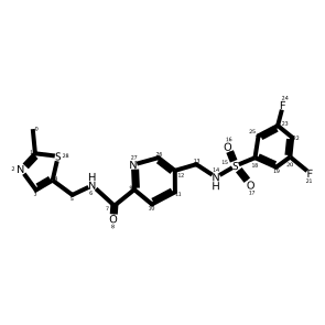 Cc1ncc(CNC(=O)c2ccc(CNS(=O)(=O)c3cc(F)cc(F)c3)cn2)s1